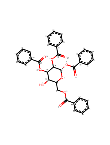 O=C(OCC1O[C@@H](OC(=O)c2ccccc2)C(OC(=O)c2ccccc2)C(OC(=O)c2ccccc2)[C@@H]1O)c1ccccc1